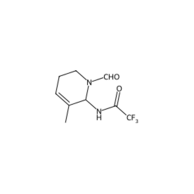 CC1=CCCN(C=O)C1NC(=O)C(F)(F)F